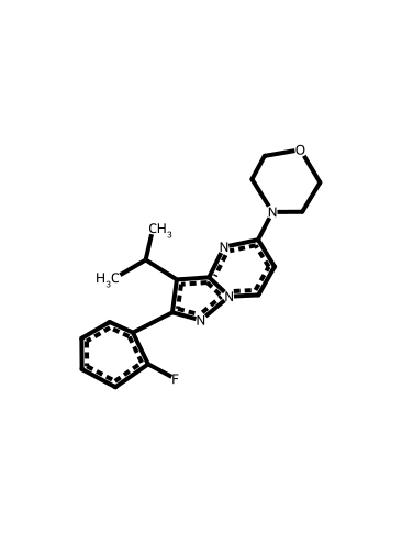 CC(C)c1c(-c2ccccc2F)nn2ccc(N3CCOCC3)nc12